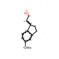 COc1ccc2c(c1)CC/C2=C\CO